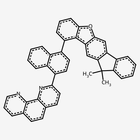 CC1(C)c2ccccc2-c2cc3oc4cccc(-c5ccc(-c6ccc7ccc8cccnc8c7n6)c6ccccc56)c4c3cc21